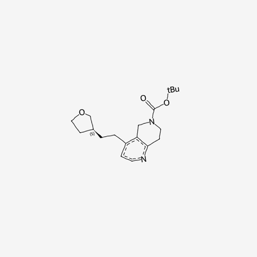 CC(C)(C)OC(=O)N1CCc2nccc(CC[C@H]3CCOC3)c2C1